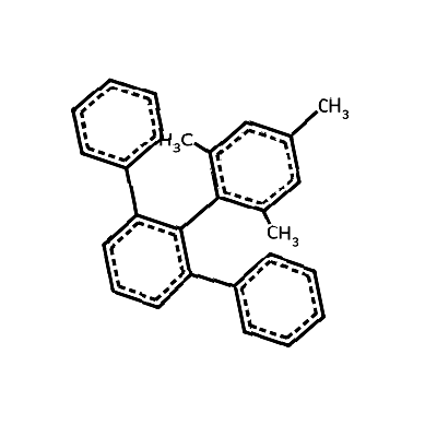 Cc1cc(C)c(-c2c(-c3ccccc3)cccc2-c2ccccc2)c(C)c1